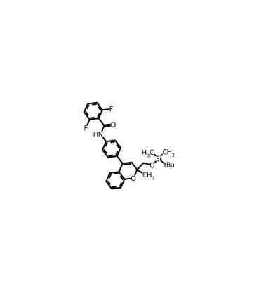 CC1(CO[Si](C)(C)C(C)(C)C)C=C(c2ccc(NC(=O)c3c(F)cccc3F)cc2)c2ccccc2O1